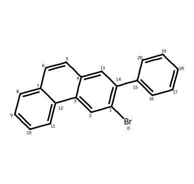 Brc1cc2c(ccc3ccccc32)cc1-c1ccccc1